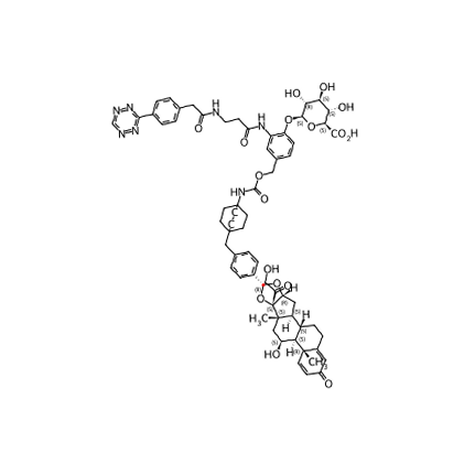 C[C@]12C=CC(=O)C=C1CC[C@@H]1[C@@H]2[C@@H](O)C[C@@]2(C)[C@H]1C[C@H]1O[C@@H](c3ccc(CC45CCC(NC(=O)OCc6ccc(O[C@@H]7O[C@H](C(=O)O)[C@@H](O)[C@H](O)[C@H]7O)c(NC(=O)CCNC(=O)Cc7ccc(-c8nncnn8)cc7)c6)(CC4)CC5)cc3)O[C@]12C(=O)CO